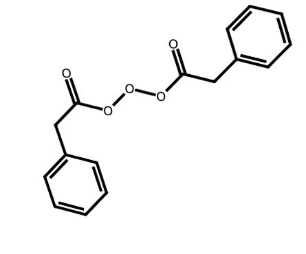 O=C(Cc1ccccc1)OOOC(=O)Cc1ccccc1